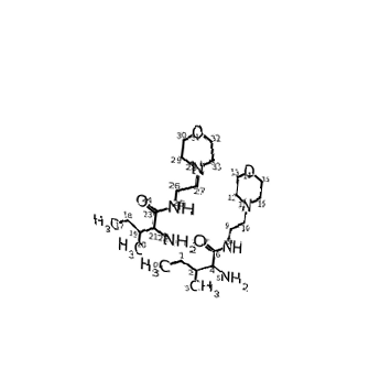 CCC(C)C(N)C(=O)NCCN1CCOCC1.CCC(C)C(N)C(=O)NCCN1CCOCC1